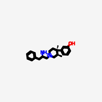 C[C@H]1CN(C[C@H](N)Cc2ccccc2)CC[C@@]1(C)c1cccc(O)c1